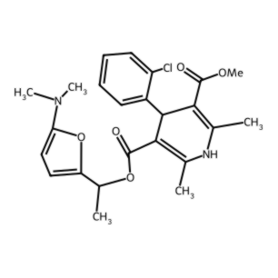 COC(=O)C1=C(C)NC(C)=C(C(=O)OC(C)c2ccc(N(C)C)o2)C1c1ccccc1Cl